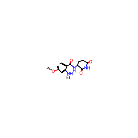 C=C(/C=C(NCC)\C(=C/C)C(=O)NC1CCC(=O)NC1=O)OC(C)C